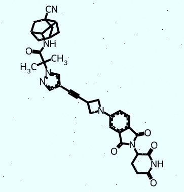 CC(C)(C(=O)NC1C2CC3CC1C(C#N)(C3)C2)n1cc(C#CC2CN(c3ccc4c(c3)C(=O)N(C3CCC(=O)NC3=O)C4=O)C2)cn1